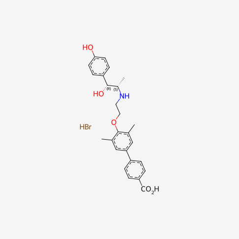 Br.Cc1cc(-c2ccc(C(=O)O)cc2)cc(C)c1OCCN[C@@H](C)[C@H](O)c1ccc(O)cc1